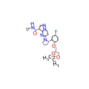 CC1(C)OCC(COc2ccc(F)cc2[C@H]2CCCN2c2ccn3ncc(C(=O)NC4CC4)c3n2)O1